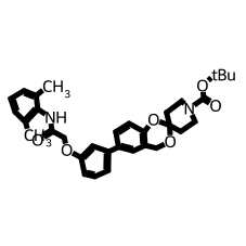 Cc1cccc(C)c1NC(=O)COc1cccc(-c2ccc3c(c2)COC2(CCN(C(=O)OC(C)(C)C)CC2)O3)c1